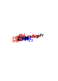 CCCOCCOCCOC/C(N)=C/N(N)CC1OCC(O)C(O)C1O